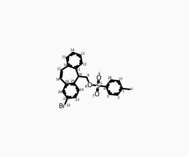 Cc1ccc(S(=O)(=O)OCC2c3ccccc3C=Cc3cc(Br)ccc32)cc1